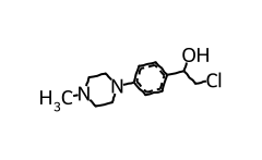 CN1CCN(c2ccc(C(O)CCl)cc2)CC1